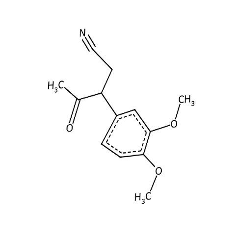 COc1ccc(C(CC#N)C(C)=O)cc1OC